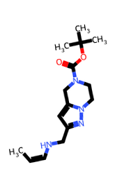 C/C=C\NCc1cc2n(n1)CCN(C(=O)OC(C)(C)C)C2